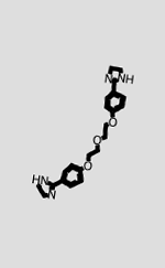 c1cc(C2=NCCN2)ccc1OCCOCCOc1ccc(C2=NCCN2)cc1